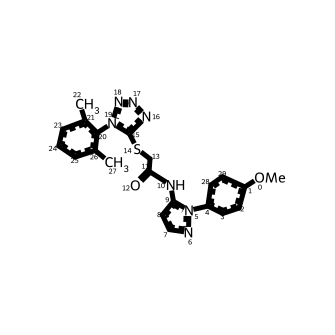 COc1ccc(-n2nccc2NC(=O)CSc2nnnn2-c2c(C)cccc2C)cc1